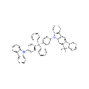 CC1(C)c2ccccc2-c2cc3c4c(n(-c5ccc([Si](c6ccccc6)(c6ccccc6)c6ccc(-n7c8ccccc8c8ccccc87)cc6)cc5)c3cc21)C=CCC4